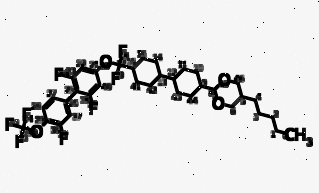 CCCCCC1COC(C2CCC(C3CCC(C(F)(F)Oc4cc(F)c(-c5ccc(OC(F)(F)F)c(F)c5)c(F)c4)CC3)CC2)OC1